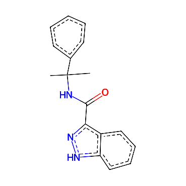 CC(C)(NC(=O)c1n[nH]c2ccccc12)c1ccccc1